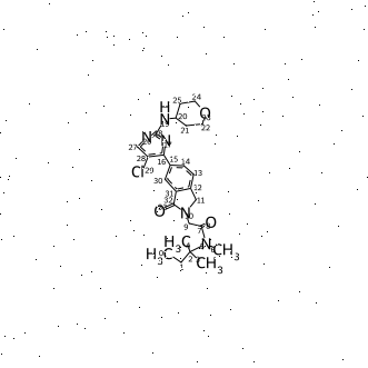 CCC(C)(C)N(C)C(=O)CN1Cc2ccc(-c3nc(NC4CCOCC4)ncc3Cl)cc2C1=O